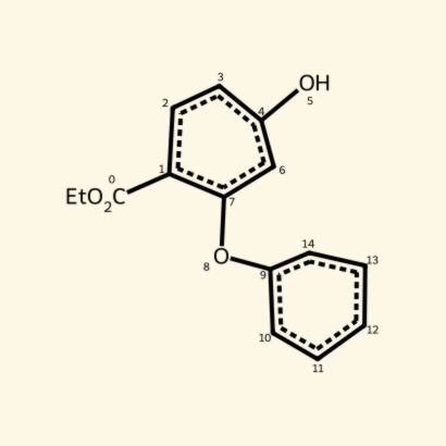 CCOC(=O)c1ccc(O)cc1Oc1ccccc1